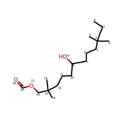 CCC(C)(C)CCCC(O)CCCC(C)(C)COC=O